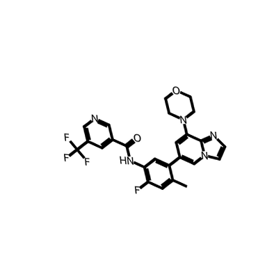 Cc1cc(F)c(NC(=O)c2cncc(C(F)(F)F)c2)cc1-c1cc(N2CCOCC2)c2nccn2c1